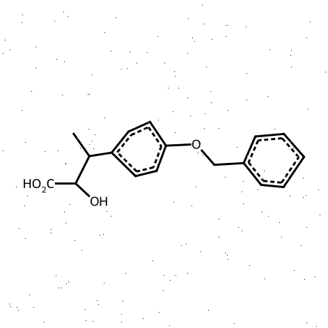 CC(c1ccc(OCc2ccccc2)cc1)C(O)C(=O)O